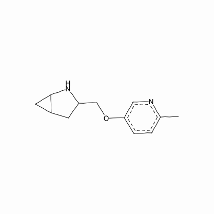 Cc1ccc(OCC2CC3CC3N2)cn1